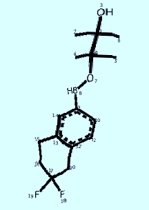 CC(C)(O)C(C)(C)OBc1ccc2c(c1)CCC(F)(F)C2